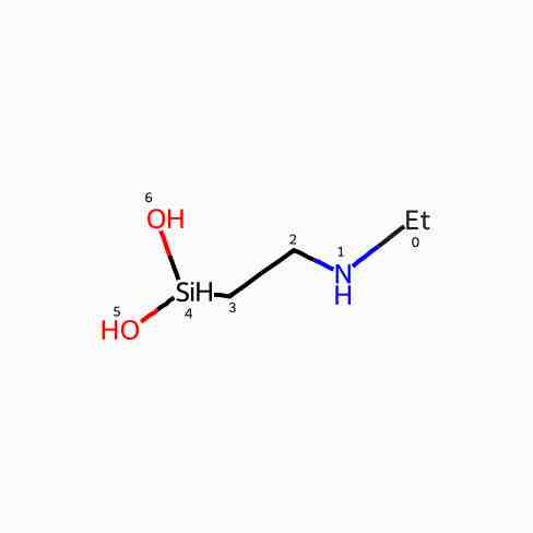 CCNCC[SiH](O)O